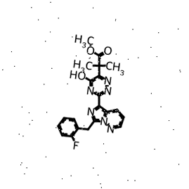 COC(=O)C(C)(C)c1nnc(-c2nc(Cc3ccccc3F)n3ncccc23)nc1O